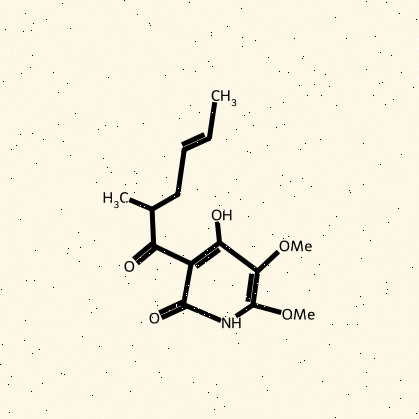 CC=CCC(C)C(=O)c1c(O)c(OC)c(OC)[nH]c1=O